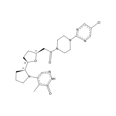 Cc1c(N2CCC[C@H]2[C@H]2CC[C@@H](CC(=O)N3CCN(c4ncc(Cl)cn4)CC3)O2)cn[nH]c1=O